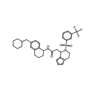 O=C(CC1c2cccn2CCN1S(=O)(=O)c1cccc(C(F)(F)F)c1)NC1CCCc2cc(CN3CCCCC3)ccc21